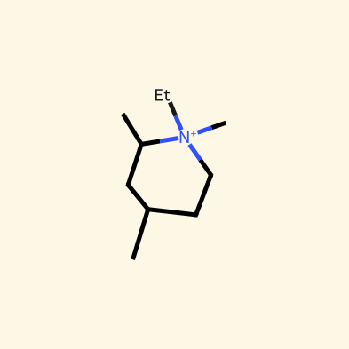 CC[N+]1(C)CCC(C)CC1C